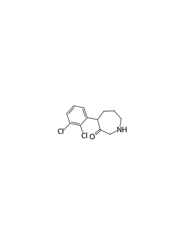 O=C1CNCCCC1c1cccc(Cl)c1Cl